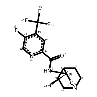 O=C(N[C@H]1CN2CCC1CC2)c1cc(C(F)(F)F)c(F)cn1